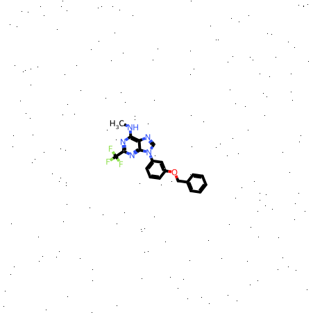 CNc1nc(C(F)(F)F)nc2c1ncn2-c1cccc(OCc2ccccc2)c1